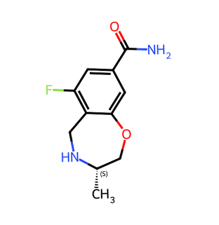 C[C@H]1COc2cc(C(N)=O)cc(F)c2CN1